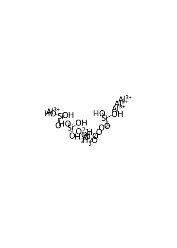 O.O.O.O.O=[Si](O)O.O=[Si](O)O.O=[Si](O)O.[Al+3].[Al+3].[Al+3].[Al+3].[O-2].[O-2].[O-2]